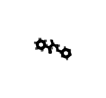 CC(OCc1ccccc1)C(=O)c1ccccc1